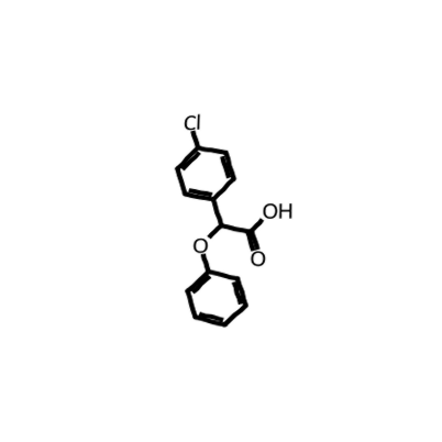 O=C(O)C(Oc1ccccc1)c1ccc(Cl)cc1